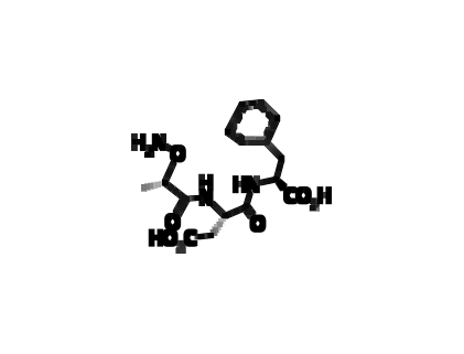 C[C@H](ON)C(=O)N[C@@H](CC(=O)O)C(=O)N[C@@H](Cc1ccccc1)C(=O)O